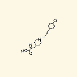 O=C(O)NCC1CCN(CCC#Cc2ccc(Cl)cc2)CC1